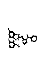 [CH2]C(N1CCOCC1)N1C=CSC1NC(=O)Nc1cc(F)ccc1Oc1c(F)cccc1OC